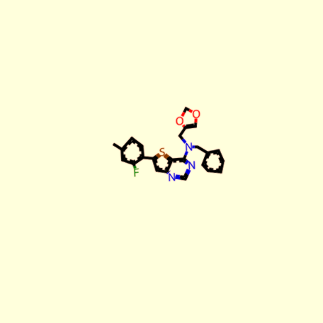 Cc1ccc(-c2cc3ncnc(N(CC4=COCO4)Cc4ccccc4)c3s2)c(F)c1